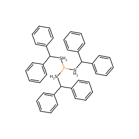 c1ccc(C([SiH2]P([SiH2]C(c2ccccc2)c2ccccc2)[SiH2]C(c2ccccc2)c2ccccc2)c2ccccc2)cc1